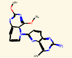 CCCc1nc(N)nc2ccc(N3C=CC=C4N=C(OC(C)(C)C)N=C(OC(C)(C)C)C43)nc12